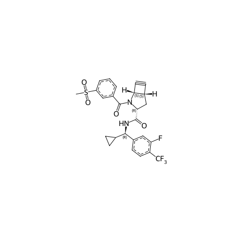 CS(=O)(=O)c1cccc(C(=O)N2[C@@H](C(=O)N[C@@H](c3ccc(C(F)(F)F)c(F)c3)C3CC3)C[C@H]3C#C[C@H]32)c1